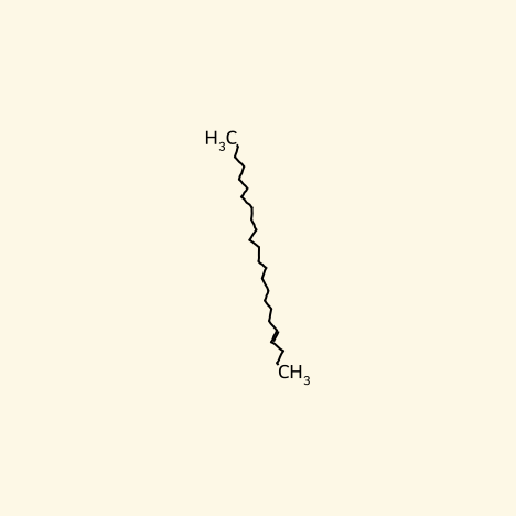 CCC/C=C/CCCCCCCCCCCCCCCCCCC